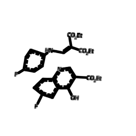 CCOC(=O)C(=CNc1ccc(F)cc1)C(=O)OCC.CCOC(=O)c1cnc2ccc(F)cc2c1O